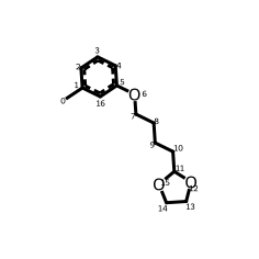 Cc1cccc(OCCCCC2OCCO2)c1